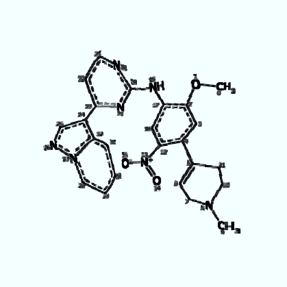 COc1cc(C2=CCN(C)CC2)c([N+](=O)[O-])cc1Nc1nccc(-c2cnn3ccccc23)n1